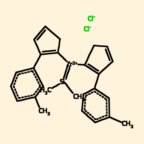 Cc1cccc(C2=[C]([Zr+2]([C]3=C(c4cccc(C)c4)C=CC3)=[Si](C)C)CC=C2)c1.[Cl-].[Cl-]